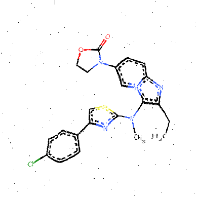 CCc1nc2ccc(N3CCOC3=O)cn2c1N(C)c1nc(-c2ccc(Cl)cc2)cs1